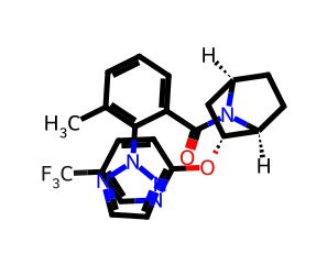 Cc1cccc(C(=O)N2[C@@H]3CC[C@H]2[C@H](Oc2ccc(C(F)(F)F)cn2)C3)c1-n1nccn1